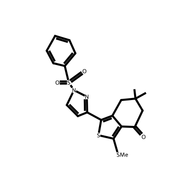 CSc1sc(-c2ccn(S(=O)(=O)c3ccccc3)n2)c2c1C(=O)CC(C)(C)C2